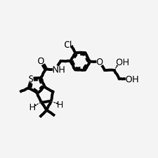 Cc1sc(C(=O)NCc2ccc(OC[C@H](O)CO)cc2Cl)c2c1[C@H]1[C@@H](C2)C1(C)C